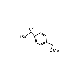 CCCC(c1ccc(COC)cc1)C(C)(C)C